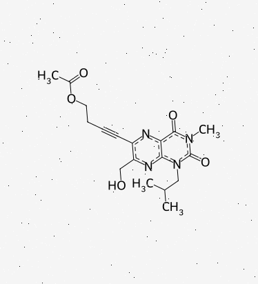 CC(=O)OCCC#Cc1nc2c(=O)n(C)c(=O)n(CC(C)C)c2nc1CO